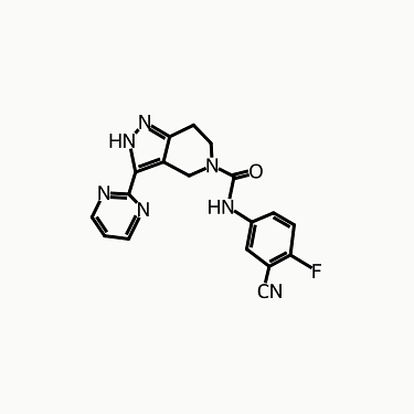 N#Cc1cc(NC(=O)N2CCc3n[nH]c(-c4ncccn4)c3C2)ccc1F